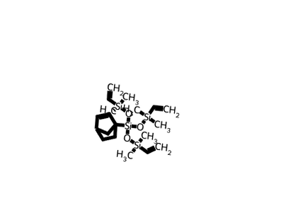 C=C[Si](C)(C)O[Si](O[Si](C)(C)C=C)(O[Si](C)(C)C=C)C12C=CC(CC1)C2